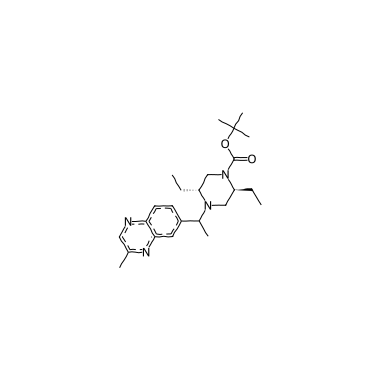 CC[C@H]1CN(C(C)c2ccc3ncc(C)nc3c2)[C@H](CC)CN1C(=O)OC(C)(C)C